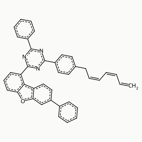 C=C/C=C\C=C/Cc1ccc(-c2nc(-c3ccccc3)nc(-c3cccc4oc5cc(-c6ccccc6)ccc5c34)n2)cc1